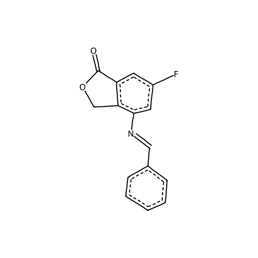 O=C1OCc2c(N=Cc3ccccc3)cc(F)cc21